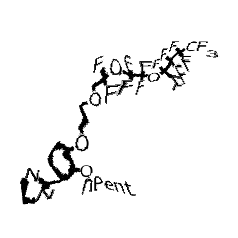 CCCCCOc1cc(-c2ncccn2)ccc1OCCCOCC(F)(F)OC(F)(F)C(F)(F)OC(F)(F)C(F)(F)C(F)(F)C(F)(F)F